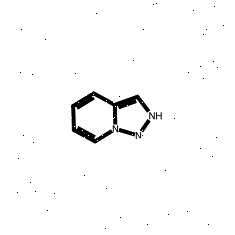 C1=CC2=CN[N]N2C=C1